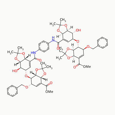 COC(=O)C1=C[C@H](OCc2ccccc2)[C@@H](O[C@H]2C=C(C(=O)Nc3ccc(NC(=O)C4=C[C@H](O[C@H]5[C@@H]6OC(C)(C)O[C@@H]6C(C(=O)OC)=C[C@@H]5OCc5ccccc5)[C@@H](O)[C@@H]5OC(C)(C)O[C@H]45)cc3)[C@H]3OC(C)(C)O[C@H]3[C@@H]2O)[C@@H]2OC(C)(C)O[C@H]12